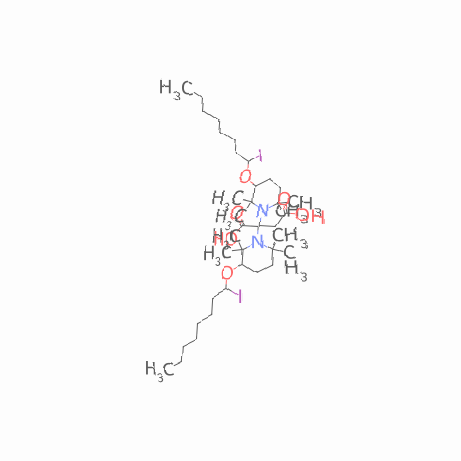 CCCCCCCC(I)OC1CCC(C)(C)N(C(CC(=O)O)(C(=O)O)N2C(C)(C)CCC(OC(I)CCCCCCC)C2(C)C)C1(C)C